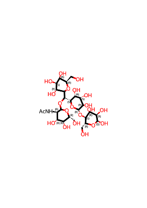 CC(=O)N[C@H]1C(OC(C2O[C@H](CO)[C@H](O)[C@H](O)[C@H]2O)[C@H]2O[C@@H](O[C@H]3[C@H](O)[C@@H](O)[C@@H](O)O[C@@H]3CO)[C@H](O)[C@@H](O)[C@H]2O)O[C@H](CO)[C@H](O)[C@@H]1O